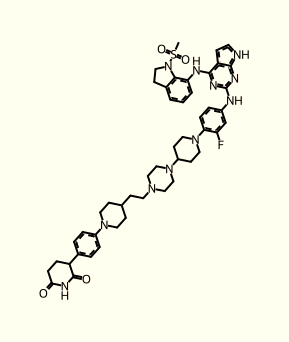 CS(=O)(=O)N1CCc2cccc(Nc3nc(Nc4ccc(N5CCC(N6CCN(CCC7CCN(c8ccc(C9CCC(=O)NC9=O)cc8)CC7)CC6)CC5)c(F)c4)nc4[nH]ccc34)c21